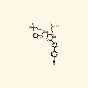 CC(O)CC[C@H](NC(=O)c1cnc(-c2ccc(C#N)cc2)s1)C(=O)N[C@@H](CCCC(F)(F)F)C(O)c1nccs1